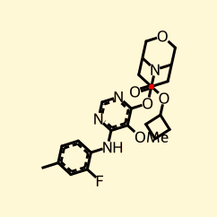 COc1c(Nc2ccc(C)cc2F)ncnc1OC1CC2COCC(C1)N2C(=O)OC1CCC1